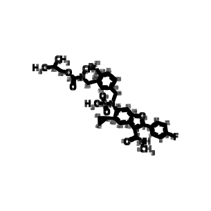 CNC(=O)c1c(-c2ccc(F)cc2)oc2cc(N(Cc3ccc(Br)c(CN(C)C(=O)OCC(C)C)c3)S(C)(=O)=O)c(C3CC3)cc12